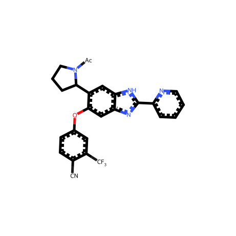 CC(=O)N1CCCC1c1cc2[nH]c(-c3ccccn3)nc2cc1Oc1ccc(C#N)c(C(F)(F)F)c1